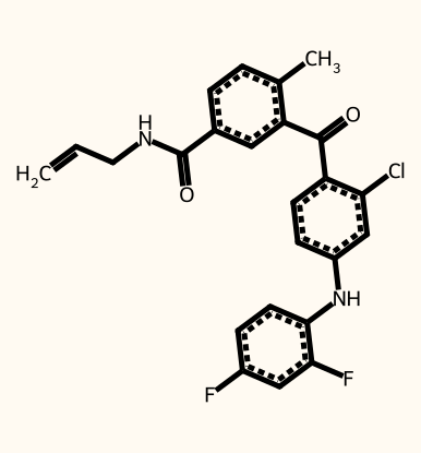 C=CCNC(=O)c1ccc(C)c(C(=O)c2ccc(Nc3ccc(F)cc3F)cc2Cl)c1